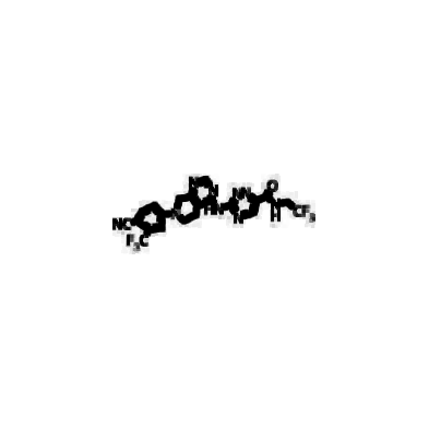 N#Cc1ccc(N2CCc3c(ncnc3Nc3ncc(C(=O)NCC(F)(F)F)nn3)C2)cc1C(F)(F)F